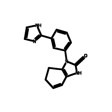 O=c1[nH]c2c(n1-c1cccc(-c3ncc[nH]3)c1)CCC=C2